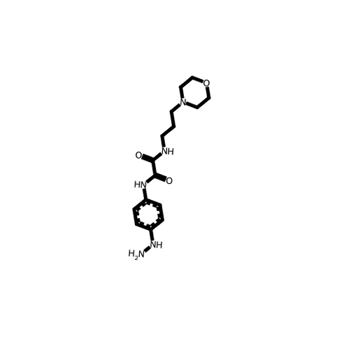 NNc1ccc(NC(=O)C(=O)NCCCN2CCOCC2)cc1